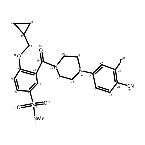 CNS(=O)(=O)c1ccc(OCC2CC2)c(C(=O)N2CCN(c3ccc(C#N)c(F)c3)CC2)c1